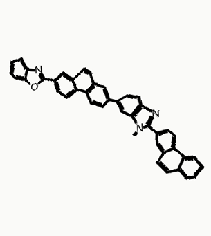 Cn1c(-c2ccc3c(ccc4ccccc43)c2)nc2ccc(-c3ccc4c(ccc5cc(-c6nc7ccccc7o6)ccc54)c3)cc21